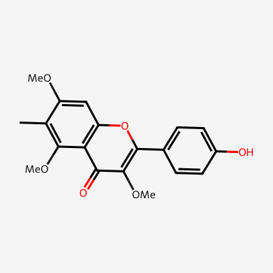 COc1cc2oc(-c3ccc(O)cc3)c(OC)c(=O)c2c(OC)c1C